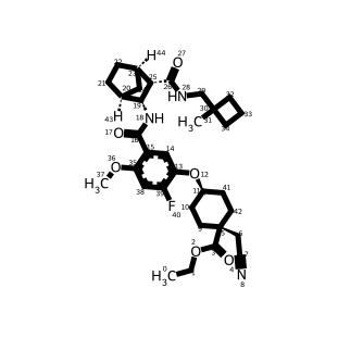 CCOC(=O)[C@]1(CC#N)CC[C@@H](Oc2cc(C(=O)N[C@@H]3[C@H]4CC[C@H](C4)[C@@H]3C(=O)NCC3(C)CCC3)c(OC)cc2F)CC1